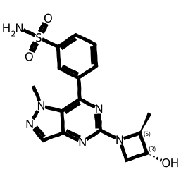 C[C@H]1[C@H](O)CN1c1nc(-c2cccc(S(N)(=O)=O)c2)c2c(cnn2C)n1